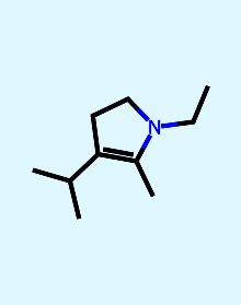 CCN1CCC(C(C)C)=C1C